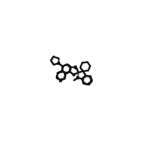 CN1c2ccccc2C2(CCCCC2)C12C=Nc1cc(N3CCCC3)c3ccncc3c1O2